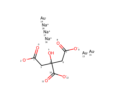 O=C([O-])CC(O)(CC(=O)[O-])C(=O)[O-].[Au].[Au].[Au].[Na+].[Na+].[Na+]